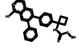 CC(C)(C)OC(=O)NC1(c2ccc(-c3nc4ccnc(O)c4cc3-c3ccccc3)cc2)CCC1